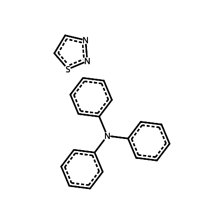 c1ccc(N(c2ccccc2)c2ccccc2)cc1.c1csnn1